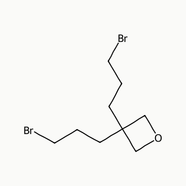 BrCCCC1(CCCBr)COC1